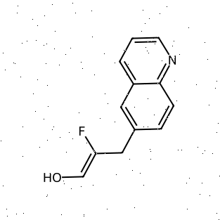 O/C=C(\F)Cc1ccc2ncccc2c1